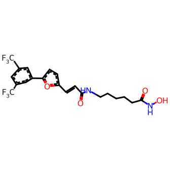 O=C(/C=C/c1ccc(-c2cc(C(F)(F)F)cc(C(F)(F)F)c2)o1)NCCCCCC(=O)NO